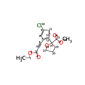 CCOC(=O)C#Cc1cc(Cl)ccc1C1(C(=O)OC)CCCO1